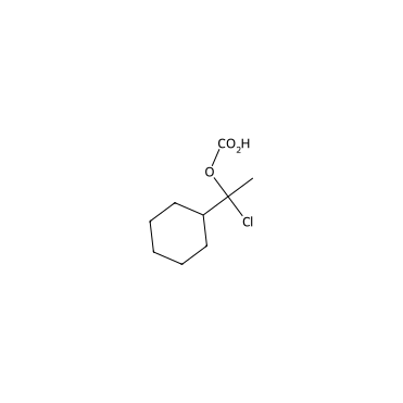 CC(Cl)(OC(=O)O)C1CCCCC1